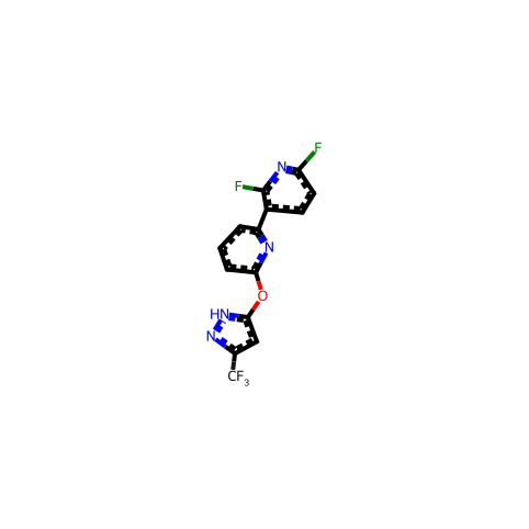 Fc1ccc(-c2cccc(Oc3cc(C(F)(F)F)n[nH]3)n2)c(F)n1